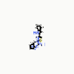 N=C(N)N(Cc1ccccc1)c1nc(-c2cc3ccccc3[nH]2)cs1